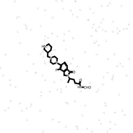 CC(CCC(=O)NC=O)N1Cc2c(ccc(N3CCN(CC4CCCNC4)CC3)c2F)C1=O